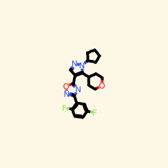 Fc1ccc(F)c(-c2noc(-c3cnn(C4CCCC4)c3C3CCOCC3)n2)c1